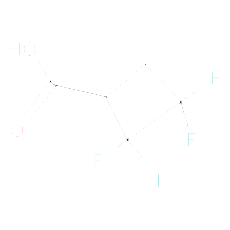 O=C(O)C1CC(F)(F)C1(F)F